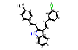 Cc1ccc(/C=C/c2[nH]c3ccccc3c2/C=C/c2cccc(Cl)c2)cc1